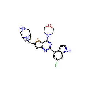 Fc1cc(-c2nc(N3CCOCC3)c3sc(CN4C5CCC4CNC5)cc3n2)c2cc[nH]c2c1